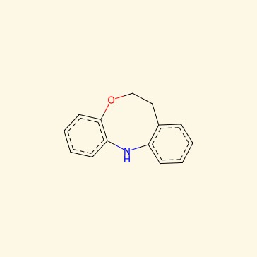 c1ccc2c(c1)CCOc1ccccc1N2